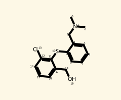 CN(C)Cc1ccccc1Sc1c(Cl)cccc1CO